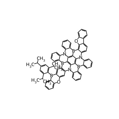 CC(C)c1cc(C(C)C)c(B2c3ccccc3Oc3cc4c(cc32)B2c3ccccc3N3c5ccccc5B5c6c3c2c2c3c6N(c6ccccc6B3c3ccccc3N42)c2ccc3c(oc4ccccc43)c25)c(C(C)C)c1